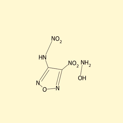 NO.O=[N+]([O-])Nc1nonc1[N+](=O)[O-]